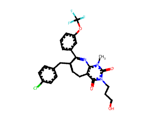 Cn1c2c(c(=O)n(CCCO)c1=O)CCC(Cc1ccc(Cl)cc1)C(c1cccc(OC(F)(F)F)c1)=N2